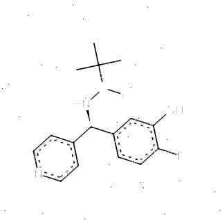 CC(C)(C)[S+]([O-])N[C@H](c1ccncc1)c1ccc(F)c(N)c1